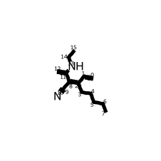 C=C/C(CCCCC)=C(/C#N)C(=C)NCC